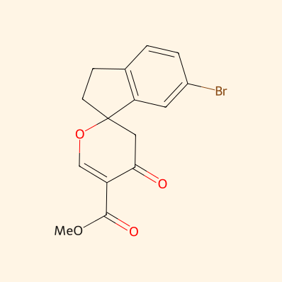 COC(=O)C1=COC2(CCc3ccc(Br)cc32)CC1=O